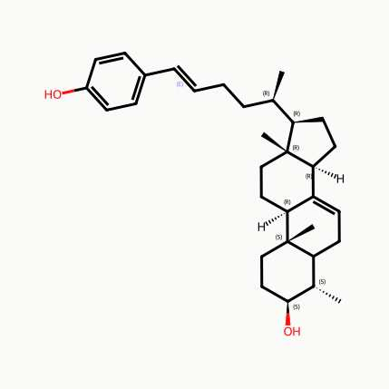 C[C@H](CC/C=C/c1ccc(O)cc1)[C@H]1CC[C@H]2C3=CCC4[C@H](C)[C@@H](O)CC[C@]4(C)[C@H]3CC[C@]12C